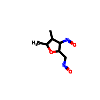 BC1OC(CN=O)C(N=O)C1C